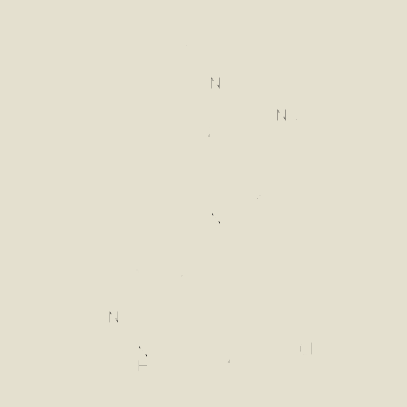 Cc1nc2c(n1C)CCN(c1cc(Cl)cc3[nH]ncc13)C2